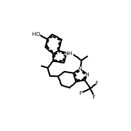 CC(CC1CCc2c(C(F)(F)F)nn(C(C)C)c2C1)c1c[nH]c2ccc(O)cc12